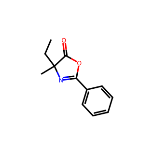 CCC1(C)N=C(c2ccccc2)OC1=O